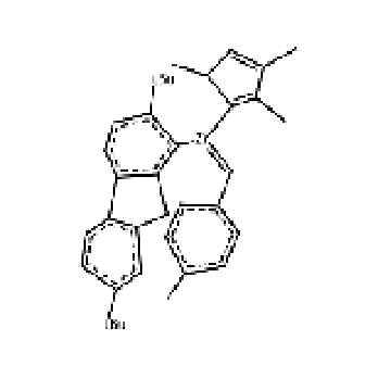 CC1=CC(C)[C](/[Zr](=[CH]/c2ccc(C)cc2)[c]2c(C(C)(C)C)ccc3c2Cc2cc(C(C)(C)C)ccc2-3)=C1C